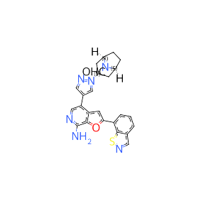 Nc1ncc(-c2cnn([C@@H]3C[C@H]4CC[C@@H](C3)N4C=O)c2)c2cc(-c3cccc4cnsc34)oc12